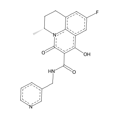 C[C@@H]1CCc2cc(F)cc3c(O)c(C(=O)NCc4cccnc4)c(=O)n1c23